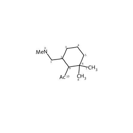 CNCC1CCCC(C)(C)C1C(C)=O